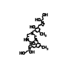 Cc1cc(C=C2CCN2C(O)CCO)c(O)c(CN2CCCNCCCN(Cc3cc(C)cc(C=C4CCN4C(O)CCO)c3O)CC2)c1